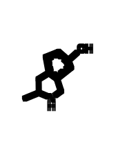 CC1Cc2ccc(O)cc2CN1